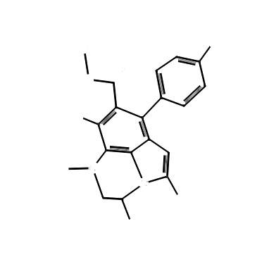 Cc1c([C@H](OC(C)(C)C)C(=O)O)c(-c2ccc(Cl)cc2)c2cc(C)n3c2c1N(C)CC3C